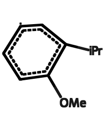 COc1cc[c]cc1C(C)C